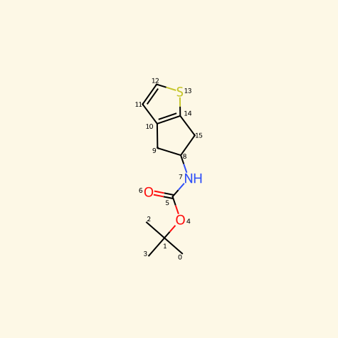 CC(C)(C)OC(=O)NC1Cc2ccsc2C1